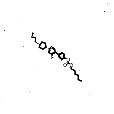 CCCCCCOC(=O)Oc1ccc(-c2ccc([C@H]3CC[C@H](CCCC)CC3)cc2F)cc1